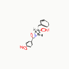 O=C(CN1C[C@@H]2C[C@@](O)(Cc3ccccc3)C[C@@H]2C1)c1ccc(O)cc1